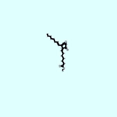 CCCCCCC=CC1=C2OC2C(=O)C1=CCCCCCC(=O)OC